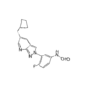 O=CNc1ccc(F)c(-n2cc3cc(CC4CCC4)cnc3n2)c1